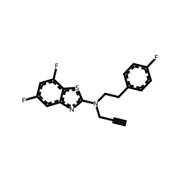 C#CCN(CCc1ccc(F)cc1)c1nc2cc(F)cc(F)c2s1